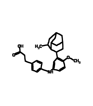 COc1ccc(Nc2ccc(CCC(=O)O)cc2)cc1C1CC2CC3CC(C)C1C(C3)C2